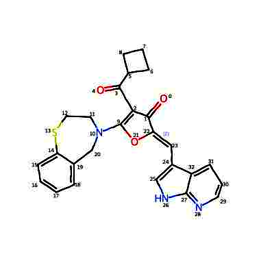 O=C1C(C(=O)C2CCC2)=C(N2CCSc3ccccc3C2)O/C1=C\c1c[nH]c2ncccc12